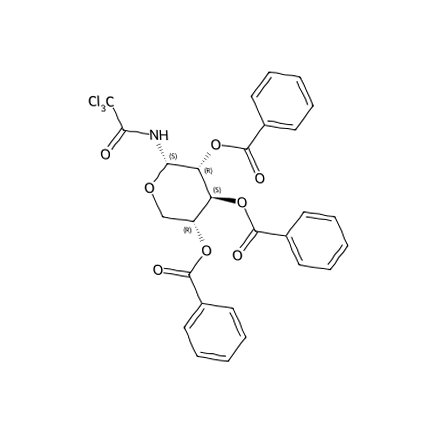 O=C(O[C@@H]1[C@@H](OC(=O)c2ccccc2)[C@@H](NC(=O)C(Cl)(Cl)Cl)OC[C@H]1OC(=O)c1ccccc1)c1ccccc1